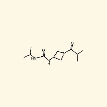 CC(C)NC(=O)NC1CN(C(=O)C(C)C)C1